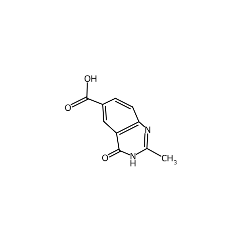 Cc1nc2ccc(C(=O)O)cc2c(=O)[nH]1